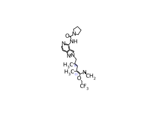 C=N/C(OCC(F)(F)F)=C(C)\C=C(/C)Cn1cc2c(NC(=O)N3CCCC3)nccc2n1